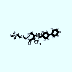 C[Si](C)(C)CCOCn1ncc(NCc2ccc(-c3ccccc3)cc2)c(C(F)(F)F)c1=O